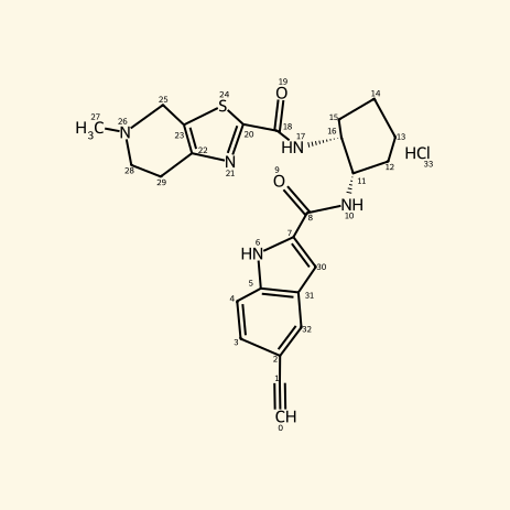 C#Cc1ccc2[nH]c(C(=O)N[C@H]3CCCC[C@H]3NC(=O)c3nc4c(s3)CN(C)CC4)cc2c1.Cl